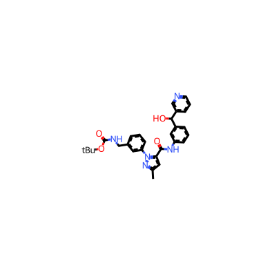 Cc1cc(C(=O)Nc2cccc(C(O)c3cccnc3)c2)n(-c2cccc(CNC(=O)OC(C)(C)C)c2)n1